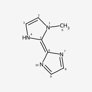 CN1C=CNC1=C1N=CC=N1